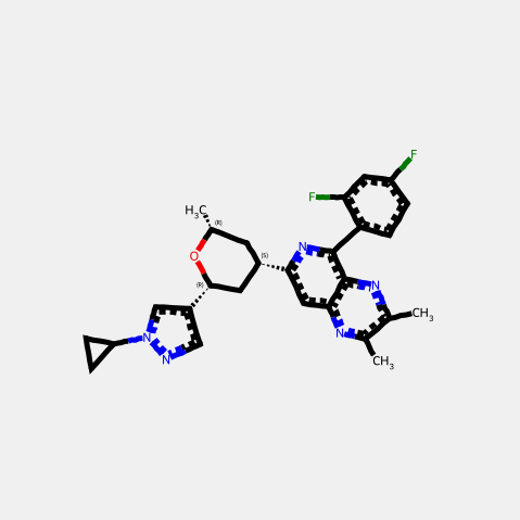 Cc1nc2cc([C@H]3C[C@@H](C)O[C@@H](c4cnn(C5CC5)c4)C3)nc(-c3ccc(F)cc3F)c2nc1C